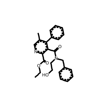 CCOC(=O)c1ncc(C)c(-c2ccccc2)c1C(=O)N(CCO)Cc1ccccc1